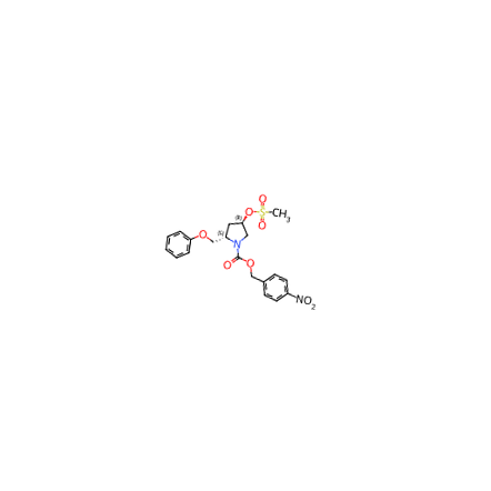 CS(=O)(=O)O[C@@H]1C[C@@H](COc2ccccc2)N(C(=O)OCc2ccc([N+](=O)[O-])cc2)C1